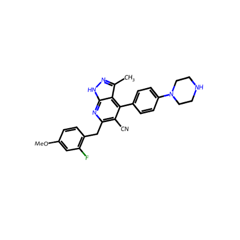 COc1ccc(Cc2nc3[nH]nc(C)c3c(-c3ccc(N4CCNCC4)cc3)c2C#N)c(F)c1